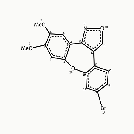 COc1cc2c(cc1OC)-c1nocc1-c1ccc(Br)cc1O2